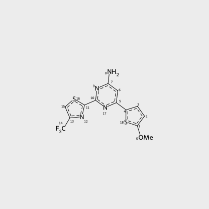 COc1ccc(-c2cc(N)nc(-c3nc(C(F)(F)F)cs3)n2)s1